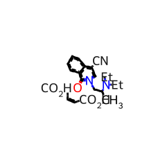 CCN(CC)C(C)Cn1cc(C#N)c2ccccc2c1=O.O=C(O)/C=C\C(=O)O